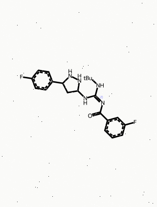 CC(C)(C)N/C(=N/C(=O)c1cccc(F)c1)NC1CC(c2ccc(F)cc2)NN1